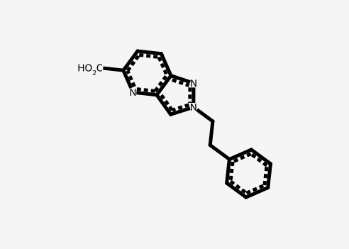 O=C(O)c1ccc2nn(CCc3ccccc3)cc2n1